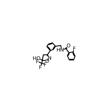 O=C(NCc1cccc(C2=NOC(O)(C(F)(F)F)C2)c1)c1ccccc1F